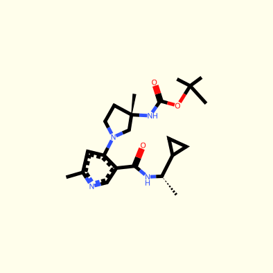 Cc1cc(N2CC[C@](C)(NC(=O)OC(C)(C)C)C2)c(C(=O)N[C@@H](C)C2CC2)cn1